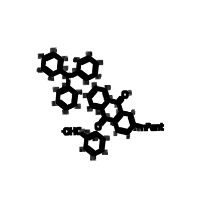 CCCCCc1ccc2c(c1)C(=O)c1ccccc1C2=O.O=[C]c1ccccc1.c1ccc(P(c2ccccc2)c2ccccc2)cc1